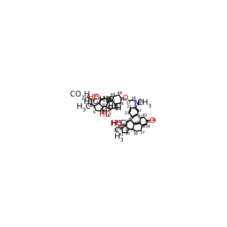 C[C@H](CCC(=O)O)C1CC[C@H]2[C@@H]3[C@H](O)C[C@@H]4C[C@@H](OCCN(C)c5ccc([C@H]6C[C@@]7(C)C(CC[C@]7(C)O)C7CCC8=CC(=O)CCC8=C76)cc5)CC[C@]4(C)[C@H]3C[C@H](O)[C@]12C